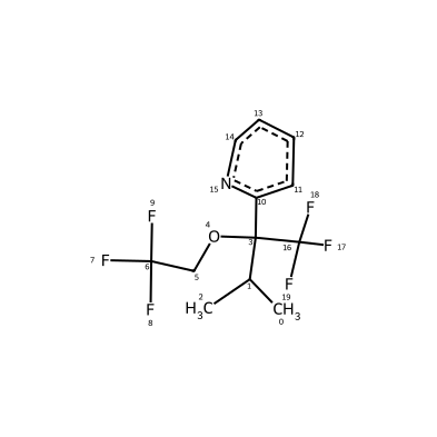 CC(C)C(OCC(F)(F)F)(c1ccccn1)C(F)(F)F